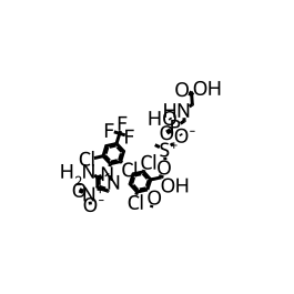 COc1c(Cl)ccc(Cl)c1C(=O)O.C[S+](C)C.Nc1c([N+](=O)[O-])cnn1-c1c(Cl)cc(C(F)(F)F)cc1Cl.O=C(O)CNCP(=O)([O-])O